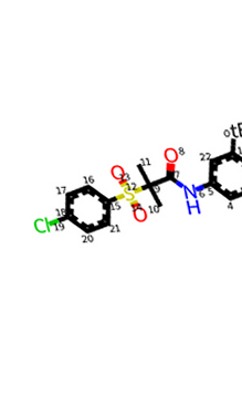 CC(C)(C)c1cccc(NC(=O)C(C)(C)S(=O)(=O)c2ccc(Cl)cc2)c1